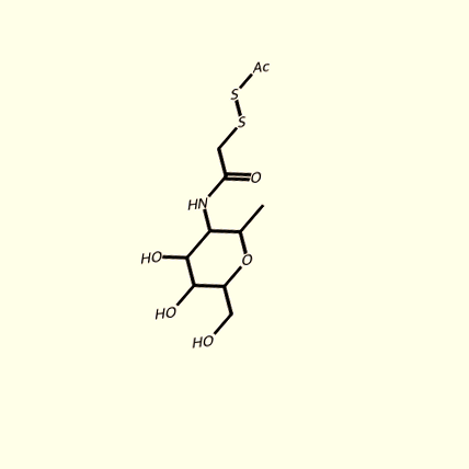 CC(=O)SSCC(=O)NC1C(C)OC(CO)C(O)C1O